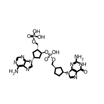 Nc1nc2c(ncn2[C@H]2CC[C@@H](COP(=O)(O)O[C@H]3C[C@H](n4cnc5c(N)ncnc54)C[C@@H]3COP(=O)(O)O)C2)c(=O)[nH]1